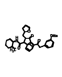 COc1cccc(CC(=O)C2C3C=CC4(O3)C(C(=O)NC3CCCCC3C)C(CC3CCCO3)C(=O)C24)c1